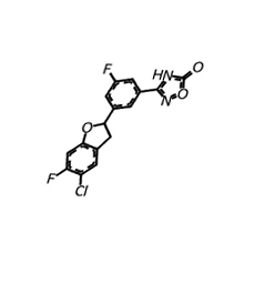 O=c1[nH]c(-c2cc(F)cc(C3Cc4cc(Cl)c(F)cc4O3)c2)no1